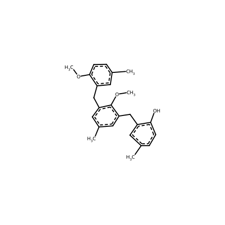 COc1ccc(C)cc1Cc1cc(C)cc(Cc2cc(C)ccc2O)c1OC